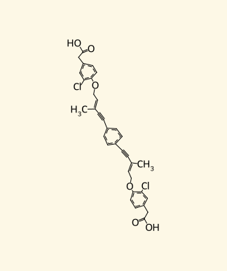 C/C(C#Cc1ccc(C#C/C(C)=C/COc2ccc(CC(=O)O)cc2Cl)cc1)=C\COc1ccc(CC(=O)O)cc1Cl